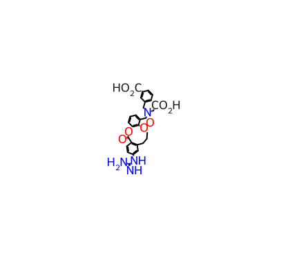 N=C(N)Nc1ccc2c(c1)CCCOc1c(cccc1C(=O)N(CC(=O)O)Cc1cccc(C(=O)O)c1)OC2=O